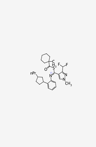 CCCC1CCC(c2ccccc2/N=C(/SC(=O)C2(C)CCCCC2)c2cn(C)nc2C(F)F)C1